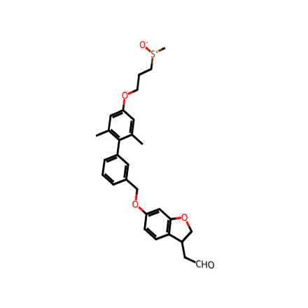 Cc1cc(OCCC[S+](C)[O-])cc(C)c1-c1cccc(COc2ccc3c(c2)OCC3CC=O)c1